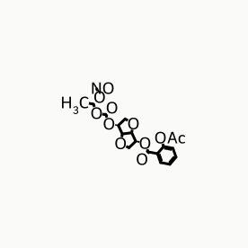 CC(=O)Oc1ccccc1C(=O)O[C@H]1COC2C1OC[C@H]2OC(=O)OC(C)ON=O